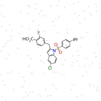 CC(C)c1ccc(S(=O)(=O)n2c(Cc3ccc(C(=O)O)c(F)c3)cc3cc(Cl)ccc32)cc1